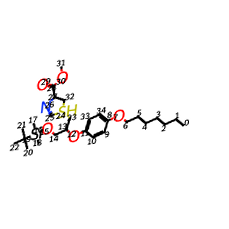 CCCCCCCOc1ccc(OC(CO[Si](C)(C)C(C)(C)C)C[SH]2C=NC(C(=O)OC)C2)cc1